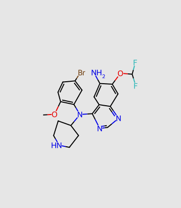 COc1ccc(Br)cc1N(c1ncnc2cc(OC(F)F)c(N)cc12)C1CCNCC1